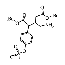 CC(C)(C)OC(=O)CC(CN)C(C(=O)OC(C)(C)C)c1ccc(OS(C)(=O)=O)cc1